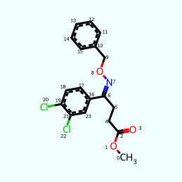 COC(=O)CC/C(=N/OCc1ccccc1)c1ccc(Cl)c(Cl)c1